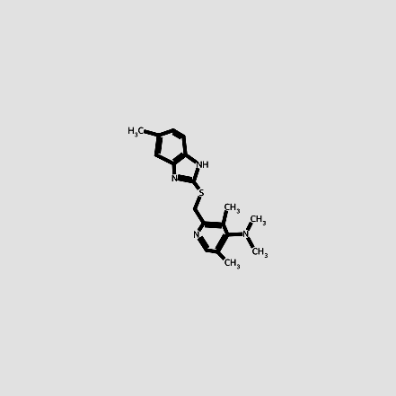 Cc1ccc2[nH]c(SCc3ncc(C)c(N(C)C)c3C)nc2c1